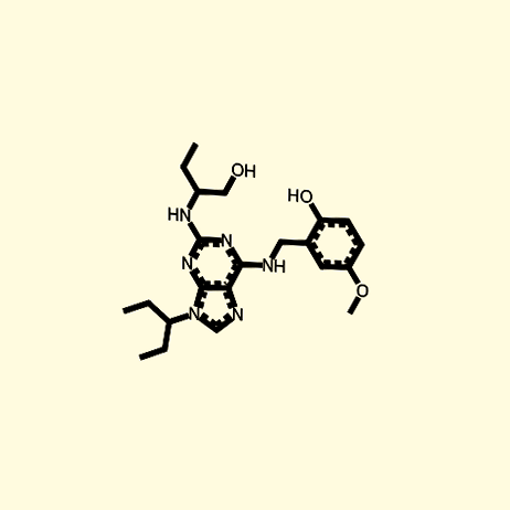 CCC(CO)Nc1nc(NCc2cc(OC)ccc2O)c2ncn(C(CC)CC)c2n1